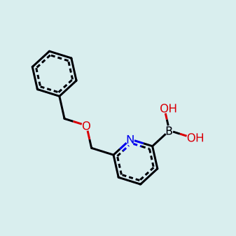 OB(O)c1cccc(COCc2ccccc2)n1